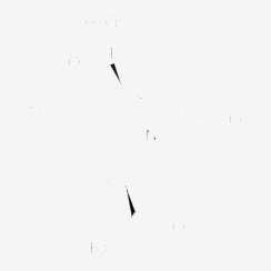 CC1(C)[C@H](C(=O)O)N2C(=O)C[C@H]2S1(=O)=O.O